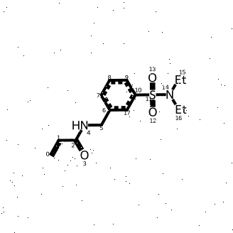 C=CC(=O)NCc1cccc(S(=O)(=O)N(CC)CC)c1